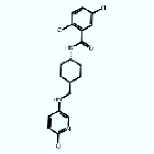 O=C(N[C@H]1CC[C@H](CNc2ccc(Cl)nc2)CC1)c1cc(Cl)ccc1Cl